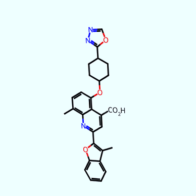 Cc1c(-c2cc(C(=O)O)c3c(OC4CCC(c5nnco5)CC4)ccc(C)c3n2)oc2ccccc12